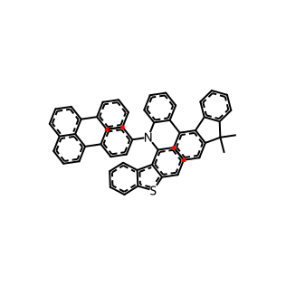 CC1(C)c2ccccc2-c2c(-c3ccccc3N(c3ccc(-c4cccc5cccc(-c6ccccc6)c45)cc3)c3cccc4sc5ccccc5c34)cccc21